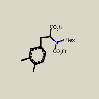 CCCCCCN(C(=O)OCC)C(Cc1ccc(C)c(C)c1)C(=O)O